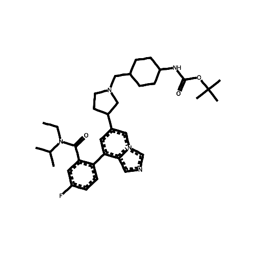 CCN(C(=O)c1cc(F)ccc1-c1cc(C2CCN(CC3CCC(NC(=O)OC(C)(C)C)CC3)C2)cn2cncc12)C(C)C